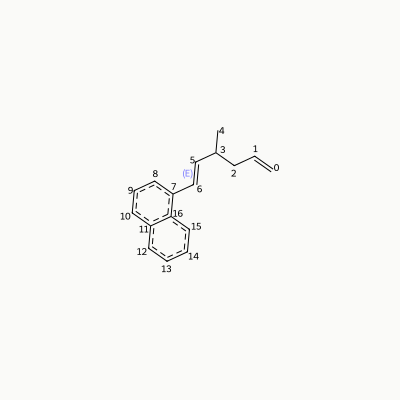 C=CCC(C)/C=C/c1cccc2ccccc12